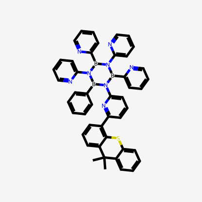 CC1(C)c2ccccc2Sc2c(-c3cccc(N4B(c5ccccc5)N(c5ccccn5)B(c5ccccn5)N(c5ccccn5)B4c4ccccn4)n3)cccc21